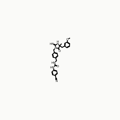 COc1cccc(CC2(C)NC(=N)N(Cc3ccc(CNC(=O)Nc4ccc(C#N)cc4)cc3)C2=O)c1